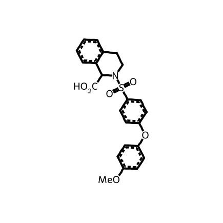 COc1ccc(Oc2ccc(S(=O)(=O)N3CCc4ccccc4C3C(=O)O)cc2)cc1